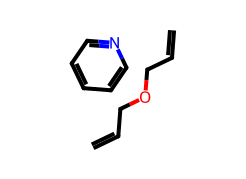 C=CCOCC=C.c1ccncc1